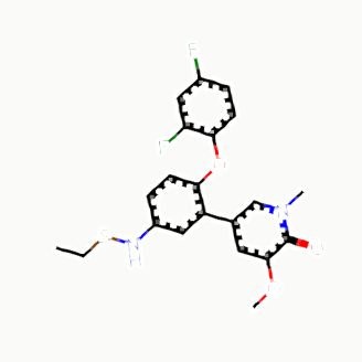 CCSNc1ccc(Oc2ccc(F)cc2F)c(-c2cc(OC)c(=O)n(C)c2)c1